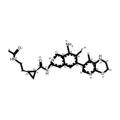 CC(=O)NCC[C@@H]1C[C@@H]1C(=O)Nc1cc2cc(-c3cnc4c(c3C)NCCO4)c(F)c(N)c2cn1